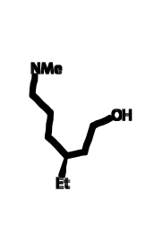 CC[C@H](CCO)CCCNC